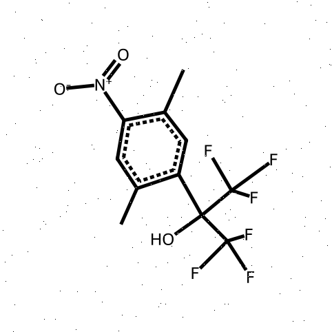 Cc1cc(C(O)(C(F)(F)F)C(F)(F)F)c(C)cc1[N+](=O)[O-]